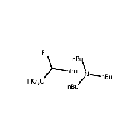 CCCCC(CC)C(=O)O.CCCCN(CCCC)CCCC